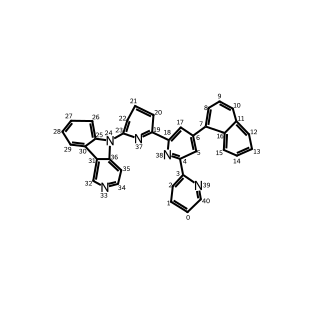 c1ccc(-c2cc(-c3cccc4ccccc34)cc(-c3cccc(-n4c5ccccc5c5cnccc54)n3)n2)nc1